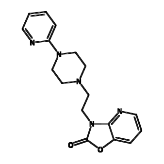 O=c1oc2cccnc2n1CCN1CCN(c2ccccn2)CC1